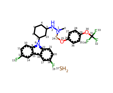 CN(NC1CCCC(n2c3ccc(F)cc3c3cc(F)ccc32)C1)SOc1ccc(OC(F)(F)F)cc1.S